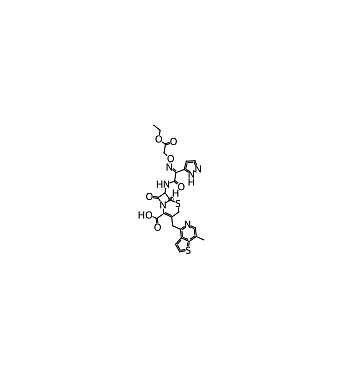 CCOC(=O)CON=C(C(=O)NC1C(=O)N2C(C(=O)O)=C(Cc3ncc(C)c4sccc34)CS[C@@H]12)c1ccn[nH]1